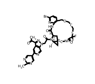 CC(=O)c1nn(CC(=O)N2[C@H]3C[C@@]4(CNC(=O)C(F)(F)CCCCOCc5ccc(Br)nc5NC3=O)C[C@@H]24)c2cnc(-c3cnc(C)nc3)cc12